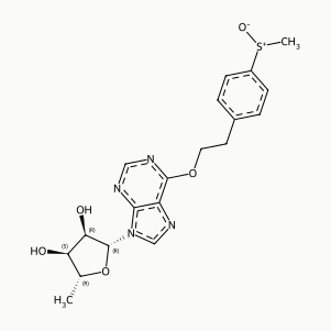 C[C@H]1O[C@@H](n2cnc3c(OCCc4ccc([S+](C)[O-])cc4)ncnc32)[C@H](O)[C@@H]1O